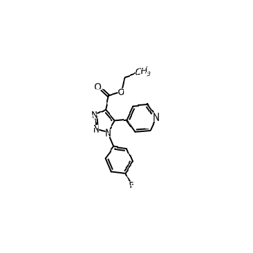 CCOC(=O)c1nnn(-c2ccc(F)cc2)c1-c1ccncc1